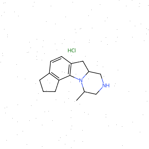 CC1CNCC2Cc3ccc4c(c3N12)CCC4.Cl